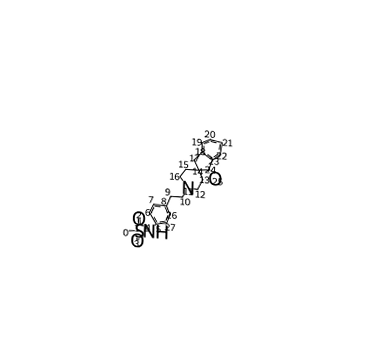 CS(=O)(=O)Nc1ccc(CCN2CCC3(CC2)Cc2ccccc2C3=O)cc1